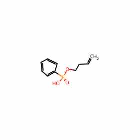 C=CCCOP(=O)(O)c1ccccc1